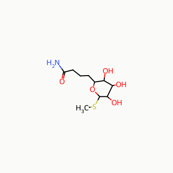 CSC1OC(CCCC(N)=O)C(O)C(O)C1O